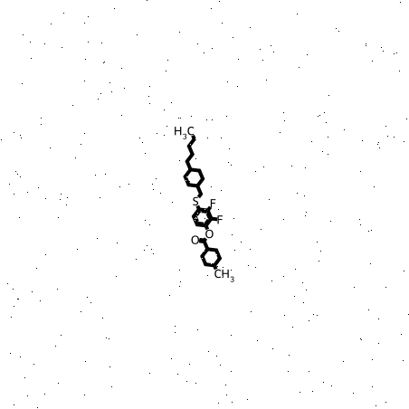 CCCCCC1CCC(CSc2ccc(OC(=O)C3CCC(C)CC3)c(F)c2F)CC1